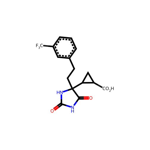 O=C1NC(=O)C(CCc2cccc(C(F)(F)F)c2)(C2CC2C(=O)O)N1